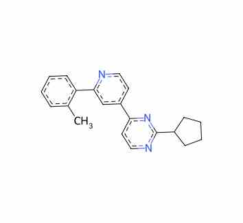 Cc1ccccc1-c1cc(-c2ccnc(C3CCCC3)n2)ccn1